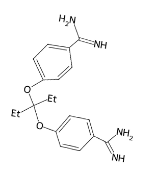 CCC(CC)(Oc1ccc(C(=N)N)cc1)Oc1ccc(C(=N)N)cc1